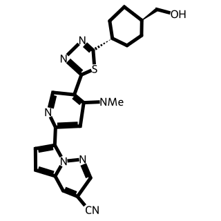 CNc1cc(-c2ccc3cc(C#N)cnn23)ncc1-c1nnc([C@H]2CC[C@H](CO)CC2)s1